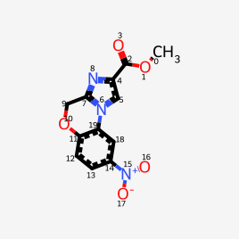 COC(=O)c1cn2c(n1)COc1ccc([N+](=O)[O-])cc1-2